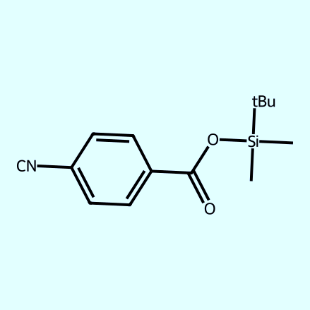 [C-]#[N+]c1ccc(C(=O)O[Si](C)(C)C(C)(C)C)cc1